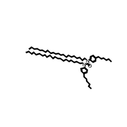 CCCCCCCCCCCCCCCCCCCCCCN(C(=O)N(CCCCCCCCCCCCCCCCCCCCCC)c1ccc(CCCCCC)cc1)c1ccc(CCCCCC)cc1